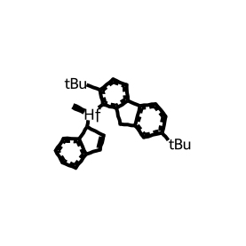 [CH2]=[Hf]([c]1c(C(C)(C)C)ccc2c1Cc1cc(C(C)(C)C)ccc1-2)[CH]1C=Cc2ccccc21